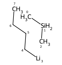 C[SiH2]C.[Li][CH2]CCC